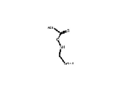 CCCCCCNOC(=O)CCCC